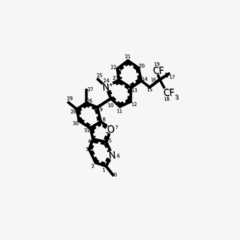 Cc1ccc2c(n1)oc1c(-c3ccc4c(CC(C)(C(F)(F)F)C(F)(F)F)cccc4[n+]3C)c(C)c(C)cc12